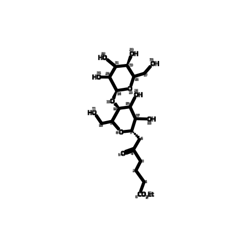 CCOC(=O)CCCC(=O)C[C@@H]1OC(CO)[C@@H](O[C@@H]2OC(CO)[C@H](O)C(O)C2O)C(O)C1O